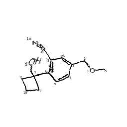 COCc1ccc(C2(O)CCC2)c(C#N)c1